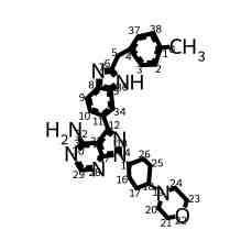 Cc1ccc(Cc2nc3ccc(-c4nn([C@H]5CC[C@H](N6CCOCC6)CC5)c5ncnc(N)c45)cc3[nH]2)cc1